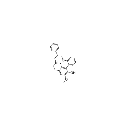 COc1ccccc1-c1c(O)c(OC)cc2c1CN(CCc1ccccc1)CC2